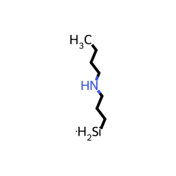 CCCCNCCC[SiH2]